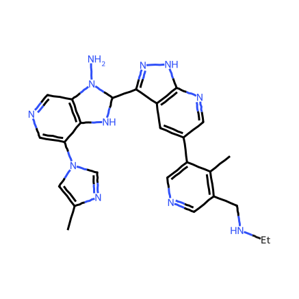 CCNCc1cncc(-c2cnc3[nH]nc(C4Nc5c(cncc5-n5cnc(C)c5)N4N)c3c2)c1C